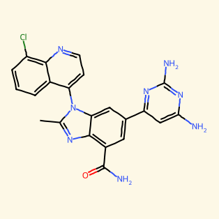 Cc1nc2c(C(N)=O)cc(-c3cc(N)nc(N)n3)cc2n1-c1ccnc2c(Cl)cccc12